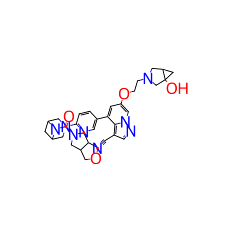 N#Cc1cnn2cc(OCCN3CC4CC4(O)C3)cc(-c3ccc(N4CC5CC(C4)N5C(=O)N4CC5COCC5C4)nc3)c12